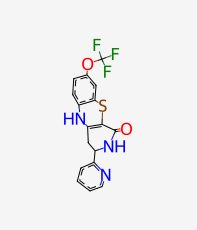 O=C1NC(c2ccccn2)CC2=C1Sc1cc(OC(F)(F)F)ccc1N2